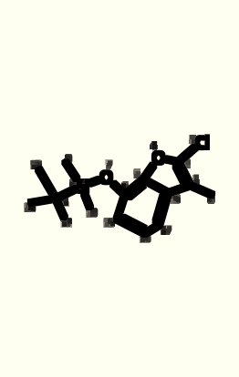 Cc1c(Cl)oc2c(O[Si](C)(C)C(C)(C)C)cccc12